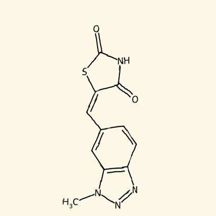 Cn1nnc2ccc(C=C3SC(=O)NC3=O)cc21